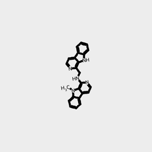 Cn1c2ccccc2c2ccnc(NCc3nccc4c3[nH]c3ccccc34)c21